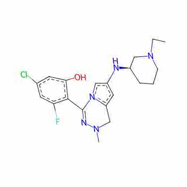 CCN1CCC[C@@H](Nc2cc3n(c2)C(c2c(O)cc(Cl)cc2F)=NN(C)C3)C1